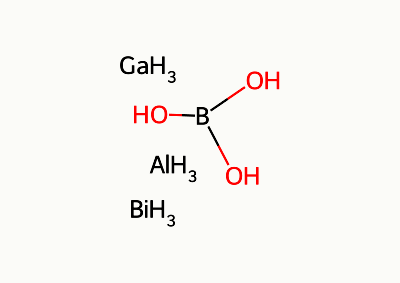 OB(O)O.[AlH3].[BiH3].[GaH3]